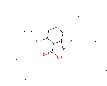 CC1CCCC(Br)(Br)C1C(=O)O